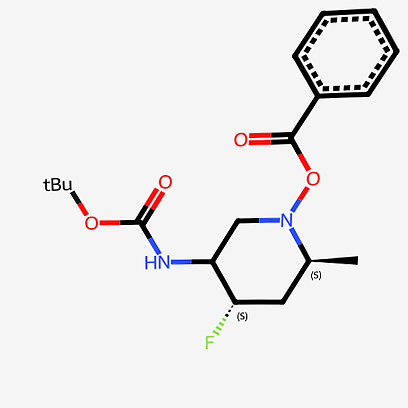 C[C@H]1C[C@H](F)C(NC(=O)OC(C)(C)C)CN1OC(=O)c1ccccc1